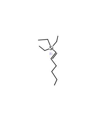 CCCC/C=C/[Si](CC)(CC)CC